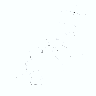 Cc1ncn2c1c(N)nc1cc(F)c(C(=O)N3C[C@@H](F)C[C@@H]4Oc5cc(C(F)(F)F)ccc5[C@@H]43)cc12